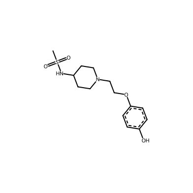 CS(=O)(=O)NC1CCN(CCOc2ccc(O)cc2)CC1